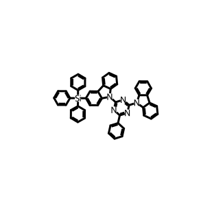 c1ccc(-c2nc(-n3c4ccccc4c4ccccc43)nc(-n3c4ccccc4c4cc([Si](c5ccccc5)(c5ccccc5)c5ccccc5)ccc43)n2)cc1